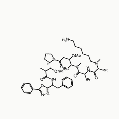 CCC(C)C(C(CC(=O)N1CCC[C@H]1C(OC)C(C)C(=O)NC(Cc1ccccc1)c1nnc(-c2ccccc2)o1)OC)N(C)C(=O)C(NC(=O)C(C(C)C)N(C)CCCCCCN)C(C)C